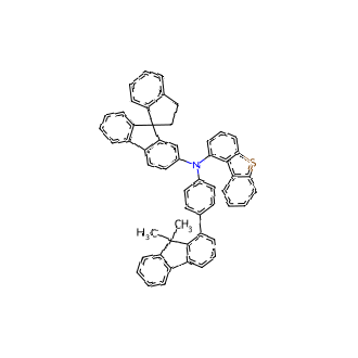 CC1(C)c2ccccc2-c2cccc(-c3ccc(N(c4ccc5c(c4)C4(CCc6ccccc64)c4ccccc4-5)c4cccc5sc6ccccc6c45)cc3)c21